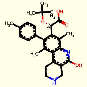 Cc1ccc(-c2c([C@H](OC(C)(C)C)C(=O)O)c(C)c3nc(O)c4c(c3c2C)CCNC4)cc1